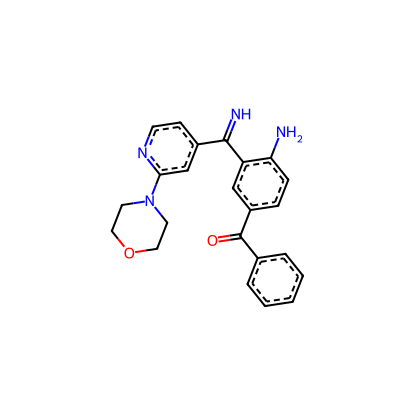 N=C(c1ccnc(N2CCOCC2)c1)c1cc(C(=O)c2ccccc2)ccc1N